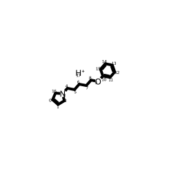 C1=CCN(CCCCCOc2ccccc2)C1.[H+]